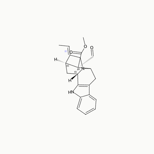 C/C=C1/CN2C3Cc4c([nH]c5ccccc45)[C@@H]2C[C@@H]1[C@@]3(C=O)C(=O)OC